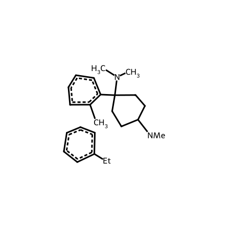 CCc1ccccc1.CNC1CCC(c2ccccc2C)(N(C)C)CC1